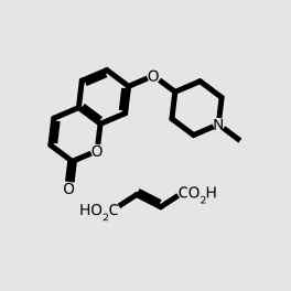 CN1CCC(Oc2ccc3ccc(=O)oc3c2)CC1.O=C(O)/C=C/C(=O)O